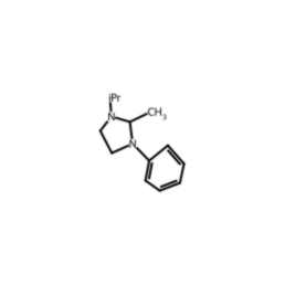 CC(C)N1CCN(c2ccccc2)C1C